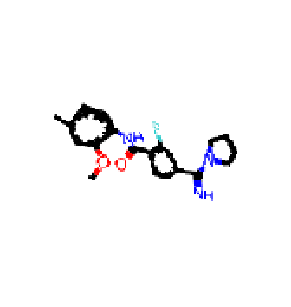 COc1cc(C)ccc1NC(=O)c1ccc(C(=N)N2CCCC2)cc1F